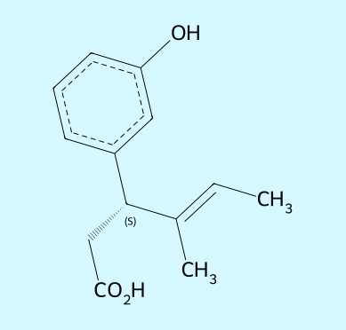 CC=C(C)[C@H](CC(=O)O)c1cccc(O)c1